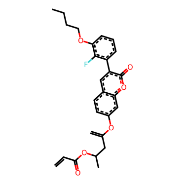 C=CC(=O)OC(C)CC(=C)Oc1ccc2cc(-c3cccc(OCCCC)c3F)c(=O)oc2c1